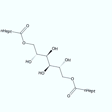 CCCCCCCC(=O)OC[C@@H](O)[C@@H](O)[C@H](O)[C@H](O)COC(=O)CCCCCCC